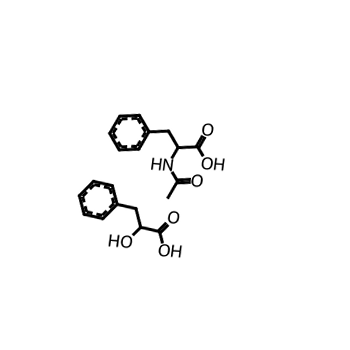 CC(=O)NC(Cc1ccccc1)C(=O)O.O=C(O)C(O)Cc1ccccc1